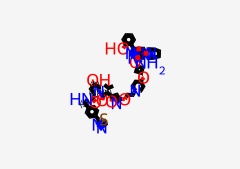 CC(C)[C@@H](C(=O)N1C[C@H](O)C[C@H]1C(=O)N[C@@H](C)c1ccc(-c2nncs2)cc1)c1cc(OCCN2CCC(O[C@H]3C[C@H](Oc4cc(N5C6CCC5CN(c5cc(-c7ccccc7O)nnc5N)C6)ccn4)C3)CC2)no1